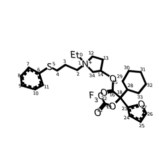 CC[N+]1(CCCSc2ccccc2)CCC(OC(=O)C(OC(=O)C(F)(F)F)(c2ccco2)C2CCCCC2)C1